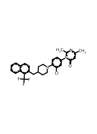 Cc1cc(=O)n(-c2ccc(N3CCC(Cc4ccc5ccccc5c4C(F)(F)F)CC3)c(Cl)c2)c(C)n1